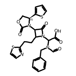 O=CN(Cc1ccccc1)C(C(=O)O)N1C(=O)C(N2C(=O)OC[C@H]2c2cccs2)C1CCc1nccs1